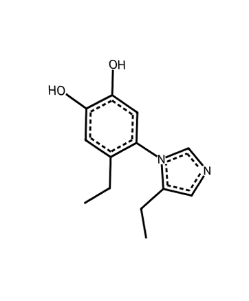 CCc1cc(O)c(O)cc1-n1cncc1CC